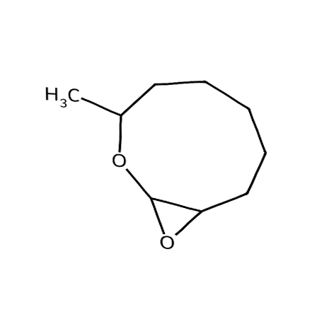 CC1CCCCCC2OC2O1